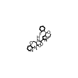 CN1C(=O)[C@@H](NC(=O)c2cc3n(n2)CCO[C@@H]3c2ccccc2F)COc2cccnc21